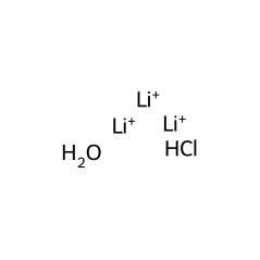 Cl.O.[Li+].[Li+].[Li+]